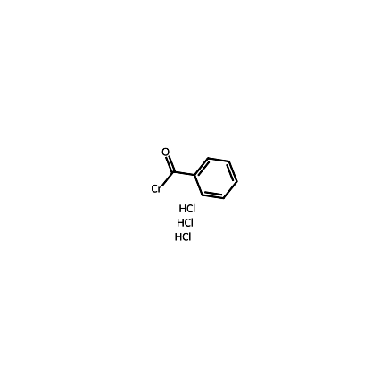 Cl.Cl.Cl.O=[C]([Cr])c1ccccc1